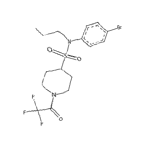 CCCN(c1ccc(Br)cc1)S(=O)(=O)C1CCN(C(=O)C(F)(F)F)CC1